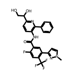 Cn1ccc(-c2cc(C(=O)Nc3ccc(C(O)CO)nc3-c3ccccc3)c(F)cc2C(F)(F)F)n1